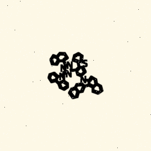 c1ccc2cc3c(cc2c1)c1c2ccccc2ccc1n3-c1cc(-c2nc(-c3cccc4ccccc34)nc(-n3c4ccccc4c4ccccc43)n2)c2c(c1)sc1ccccc12